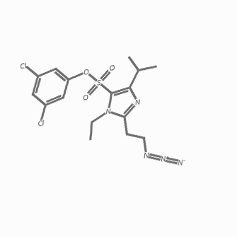 CCn1c(CCN=[N+]=[N-])nc(C(C)C)c1S(=O)(=O)Oc1cc(Cl)cc(Cl)c1